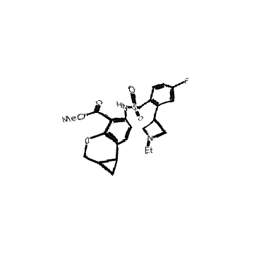 CCN1CC(c2cc(F)ccc2S(=O)(=O)Nc2ccc3c(c2C(=O)OC)OCC2CC32)C1